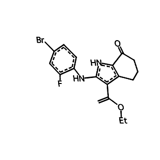 C=C(OCC)c1c(Nc2ccc(Br)cc2F)[nH]c2c1CCCC2=O